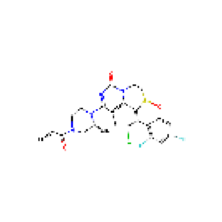 C=CC(=O)N1CCN(c2nc(=O)n3c4c(c(-c5ccc(F)cc5F)c(Cl)cc24)[S@+]([O-])CC3)[C@@H](C)C1